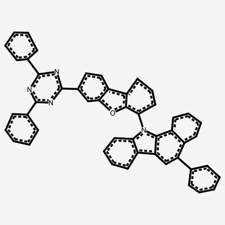 c1ccc(-c2nc(-c3ccccc3)nc(-c3ccc4c(c3)oc3c(-n5c6ccccc6c6cc(-c7ccccc7)c7ccccc7c65)cccc34)n2)cc1